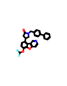 O=C1CC(c2ccc(OC(F)F)c3oc4ccncc4c23)CN1Cc1ccc(-c2ccccc2)cc1